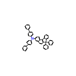 c1ccc(-c2ccc(N(c3ccc(-c4ccccc4)cc3)c3ccc4c5c(ccc4c3)C(c3ccccc3)(c3ccccc3)c3ccccc3-5)cc2)cc1